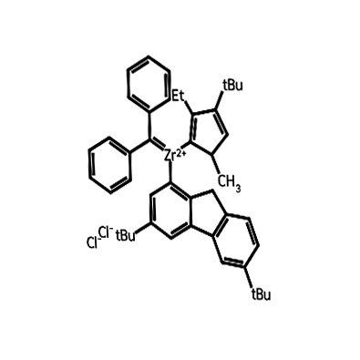 CCC1=[C]([Zr+2](=[C](c2ccccc2)c2ccccc2)[c]2cc(C(C)(C)C)cc3c2Cc2ccc(C(C)(C)C)cc2-3)C(C)C=C1C(C)(C)C.[Cl-].[Cl-]